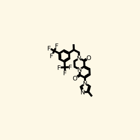 Cc1cn(-c2ccc3n(c2=O)CCN(CC(C)c2cc(C(F)(F)F)cc(C(F)(F)F)c2)C3=O)cn1